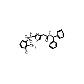 Cc1c(Cl)cccc1S(=O)(=O)Nc1nc(CC(=O)NC(c2ccccc2)c2ccccc2)cs1